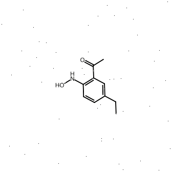 CCc1ccc(NO)c(C(C)=O)c1